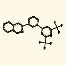 FC(F)(F)c1cc(-c2cccc(-c3cc4ccccc4cn3)c2)cc(C(F)(F)F)n1